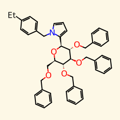 CCc1ccc(Cn2cccc2[C@@H]2O[C@H](COCc3ccccc3)[C@@H](OCc3ccccc3)[C@H](OCc3ccccc3)[C@H]2OCc2ccccc2)cc1